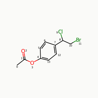 CC(=O)Oc1ccc(C(Cl)CBr)cc1